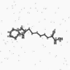 O=C(CCCCCCc1nc2ccncc2[nH]1)NO